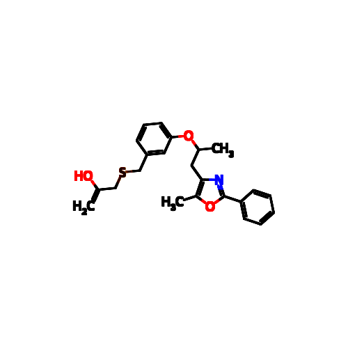 C=C(O)CSCc1cccc(OC(C)Cc2nc(-c3ccccc3)oc2C)c1